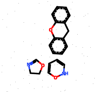 C1=CNOC=C1.C1=NCCO1.c1ccc2c(c1)Cc1ccccc1O2